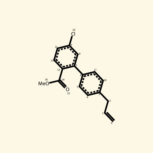 C=CCc1ccc(-c2cc(Cl)ccc2C(=O)OC)cc1